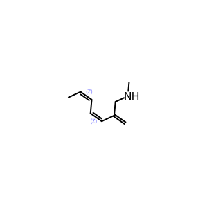 C=C(/C=C\C=C/C)CNC